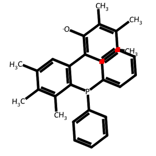 Cc1cc(-c2cc(C)c(C)c(C)c2P(c2ccccc2)c2ccccc2)c([O])c(C)c1C